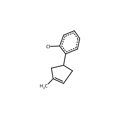 CC1=CCC(c2ccccc2Cl)C1